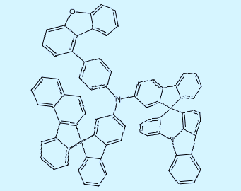 c1ccc2c(c1)-c1ccc(N(c3ccc(-c4cccc5oc6ccccc6c45)cc3)c3ccc4c(c3)C3(c5ccccc5-4)c4ccccc4-n4c5ccccc5c5cccc3c54)cc1C21c2ccccc2-c2c1ccc1ccccc21